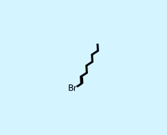 CCCCCCC=CBr